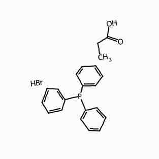 Br.CCC(=O)O.c1ccc(P(c2ccccc2)c2ccccc2)cc1